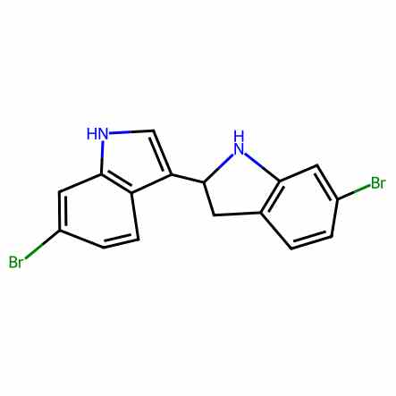 Brc1ccc2c(c1)NC(c1c[nH]c3cc(Br)ccc13)C2